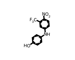 O=[N+]([O-])c1ccc(Nc2ccc(O)cc2)cc1C(F)(F)F